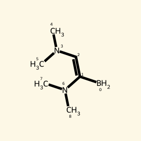 BC(=CN(C)C)N(C)C